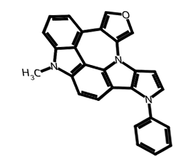 Cn1c2cccc3c4cocc4n4c5ccn(-c6ccccc6)c5c5ccc1c(c32)c54